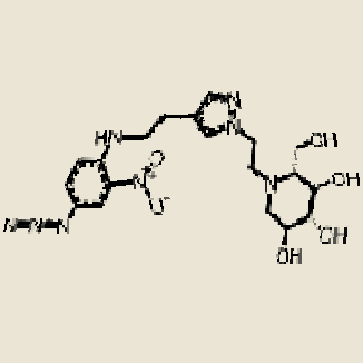 [N-]=[N+]=Nc1ccc(NCCc2cnn(CCN3C[C@H](O)[C@@H](O)[C@H](O)[C@H]3CO)c2)c([N+](=O)[O-])c1